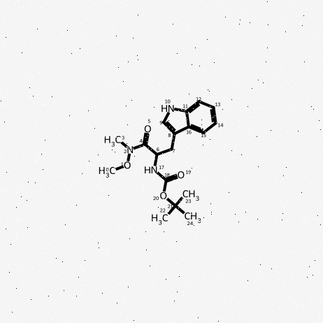 CON(C)C(=O)C(Cc1c[nH]c2ccccc12)NC(=O)OC(C)(C)C